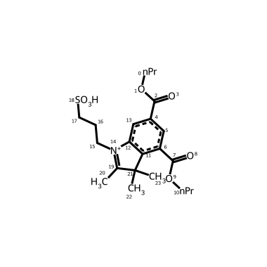 CCCOC(=O)c1cc(C(=O)OCCC)c2c(c1)[N+](CCCS(=O)(=O)O)=C(C)C2(C)C